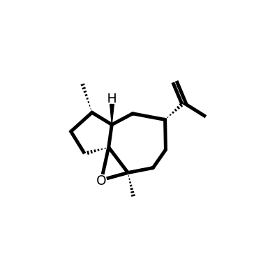 C=C(C)[C@@H]1CC[C@@]2(C)O[C@]23CC[C@H](C)[C@@H]3C1